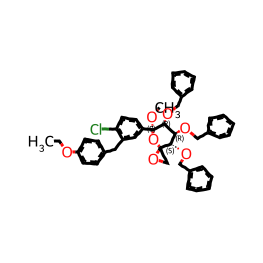 CCOc1ccc(Cc2cc([C@]3(OC)OC4(CO4)[C@@H](OCc4ccccc4)[C@H](OCc4ccccc4)[C@H]3OCc3ccccc3)ccc2Cl)cc1